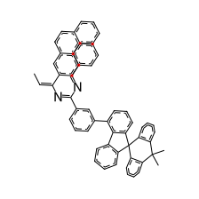 C/C=C(/N=C(\N=C\c1ccccc1)c1cccc(-c2cccc3c2-c2ccccc2C32c3ccccc3C(C)(C)c3ccccc32)c1)c1ccc2c(ccc3ccccc32)c1